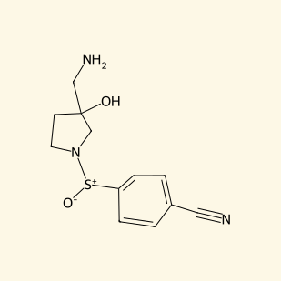 N#Cc1ccc([S+]([O-])N2CCC(O)(CN)C2)cc1